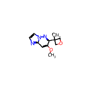 COc1cc2nccn2nc1C1(C)COC1